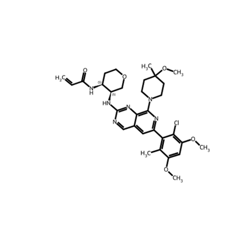 C=CC(=O)N[C@H]1CCOC[C@H]1Nc1ncc2cc(-c3c(C)c(OC)cc(OC)c3Cl)nc(N3CCC(C)(OC)CC3)c2n1